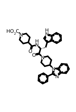 O=C(N[C@H](Cc1c[nH]c2ccccc12)C(=O)N1CCC(n2c(-c3ccccc3)nc3ccccc32)CC1)C1CCN(C(=O)O)CC1